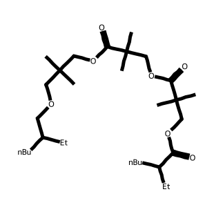 CCCCC(CC)COCC(C)(C)COC(=O)C(C)(C)COC(=O)C(C)(C)COC(=O)C(CC)CCCC